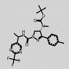 Cc1ccc(C2=NN(C(=O)NC(C)c3cnc(C(F)(F)F)nc3)C[C@@H]2N(C)C(=O)OC(C)(C)C)cc1